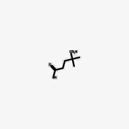 CCCC(=O)CCC(C)(C)C(=O)O